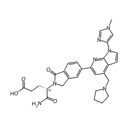 Cn1cnc(-n2ccc3c(CN4CCCC4)cc(-c4ccc5c(c4)CN([C@@H](CCC(=O)O)C(N)=O)C5=O)nc32)c1